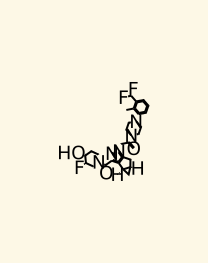 Cc1c(C(F)F)cccc1N1CCN(C(=O)Cn2nc(C(=O)N3CC[C@H](O)[C@H](F)C3)c3c2C[C@H]2C[C@@H]32)CC1